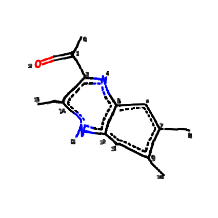 CC(=O)c1nc2cc(C)c(C)cc2nc1C